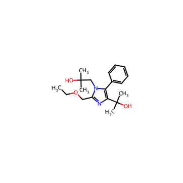 CCOCc1nc(C(C)(C)O)c(-c2ccccc2)n1CC(C)(C)O